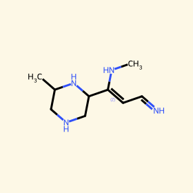 CN/C(=C\C=N)C1CNCC(C)N1